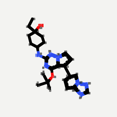 [2H]C([2H])([2H])Oc1nc(NC2CCC(O)(CC)CC2)nn2ccc(-c3ccc4ncnn4c3)c12